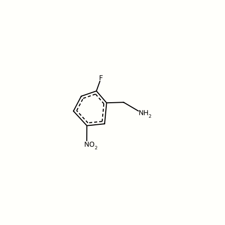 NCc1cc([N+](=O)[O-])ccc1F